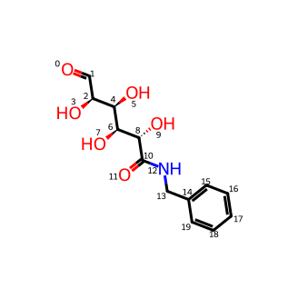 O=C[C@H](O)[C@@H](O)[C@H](O)[C@H](O)C(=O)NCc1ccccc1